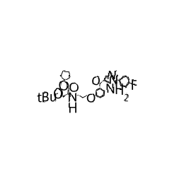 CC(C)(C)OC[C@H](NCCCOc1cccc(C(=O)c2cnn(-c3ccc(F)cc3)c2N)c1)C(=O)OC1CCCC1